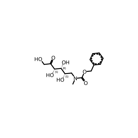 CN(C[C@H](O)[C@@H](O)[C@H](O)C(=O)CO)C(=O)OCc1ccccc1